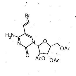 CC(=O)OC[C@H]1O[C@@H](n2cc(/C=C/Br)c(N)nc2=O)[C@H](OC(C)=O)[C@H]1OC(C)=O